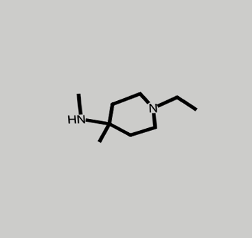 CCN1CCC(C)(NC)CC1